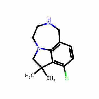 CC1(C)CN2CCNCc3ccc(Cl)c1c32